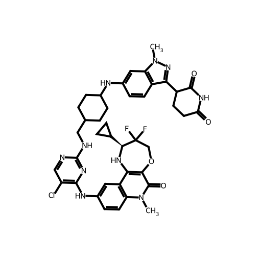 Cn1nc(C2CCC(=O)NC2=O)c2ccc(NC3CCC(CNc4ncc(Cl)c(Nc5ccc6c(c5)c5c(c(=O)n6C)OCC(F)(F)[C@H](C6CC6)N5)n4)CC3)cc21